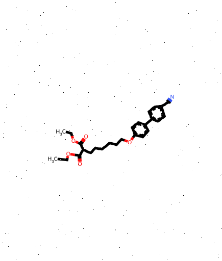 CCOC(=O)C(CCCCCCOc1ccc(-c2ccc(C#N)cc2)cc1)C(=O)OCC